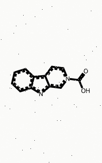 O=C(O)n1ccc2c3ccccc3nc-2c1